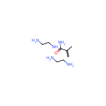 C=C(C)C(N)=O.NCCN.NCCN